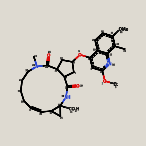 CCOc1cc(OC2CC3C(=O)NC4(C(=O)O)CC4/C=C\CCCCN(C)C(=O)C3C2)c2ccc(OC)c(C)c2n1